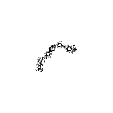 O=[N+]([O-])c1cn2c(n1)OC(COc1ccc(N3CCN(Cc4ccc(CCc5ccc(C(F)(F)F)cc5)cc4)CC3)cc1)CC2